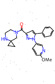 COc1ccc(-n2nc(C(=O)N3CCNC4(CC4)C3)cc2-c2ccccc2)cn1